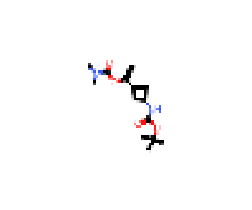 C=C(OC(=O)N(C)C)[C@H]1C[C@H](NC(=O)OC(C)(C)C)C1